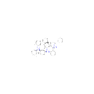 c1ccc(-c2cc(-c3ccccc3)nc(-c3ccccc3-n3c4ccccc4c4c3ccc3c5ccccc5n(-c5ccccc5)c34)c2)cc1